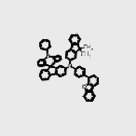 CC1(C)c2ccccc2-c2ccc(N(c3ccc(-c4cccc5c4oc4ccccc45)cc3)c3ccc4c(c3)C3(c5ccccc5-4)c4ccccc4N(c4ccccc4)c4ccccc43)cc21